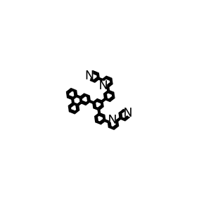 c1cc(-c2cc(-c3cccc(-c4cccc(-c5ccncc5)n4)c3)cc(-c3ccc4c5ccccc5c5ccccc5c4c3)c2)cc(-c2cccc(-c3ccncc3)n2)c1